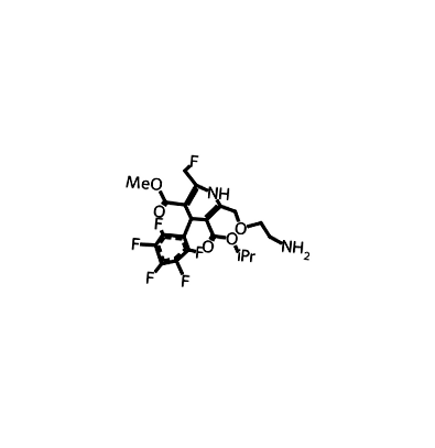 COC(=O)C1=C(CF)NC(COCCN)=C(C(=O)OC(C)C)C1c1c(F)c(F)c(F)c(F)c1F